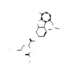 COc1ccc2c3c1O[C@@H]1C[C@@H](OC(=O)[C@H](CCSC)NC(=O)OC(C)(C)C)C=C[C@]31CCN(C)C2